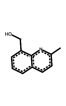 Cc1ccc2cccc([CH]O)c2n1